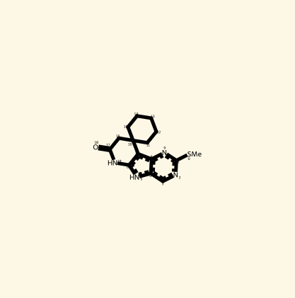 CSc1ncc2[nH]c3c(c2n1)C1(CCCCC1)CC(=O)N3